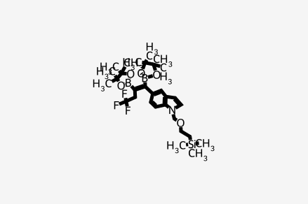 CC1(C)OB(/C(CC(F)(F)F)=C(\B2OC(C)(C)C(C)(C)O2)c2ccc3c(ccn3COCC[Si](C)(C)C)c2)OC1(C)C